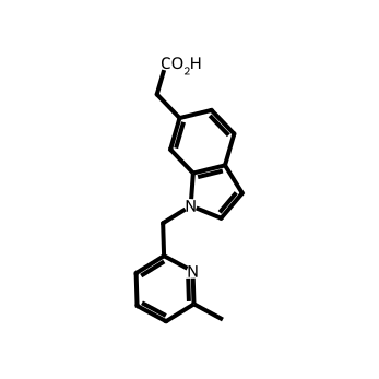 Cc1cccc(Cn2ccc3ccc(CC(=O)O)cc32)n1